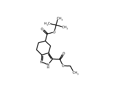 CCOC(=O)c1[nH]nc2c1CC(C(=O)OC(C)(C)C)CC2